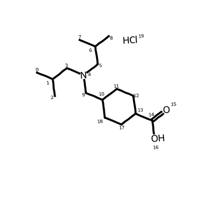 CC(C)CN(CC(C)C)CC1CCC(C(=O)O)CC1.Cl